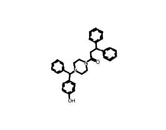 O=C(CC(c1ccccc1)c1ccccc1)N1CCN(C(c2ccccc2)c2ccc(O)cc2)CC1